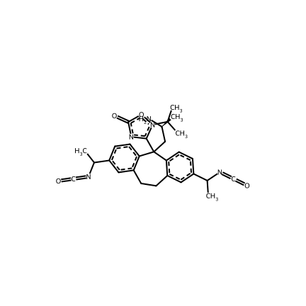 CC(N=C=O)c1ccc2c(c1)CCc1cc(C(C)N=C=O)ccc1C2(C[C@H](C)N)c1nc(=O)on1C(C)C